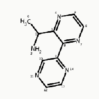 CC(N)c1nccnc1-c1cnccn1